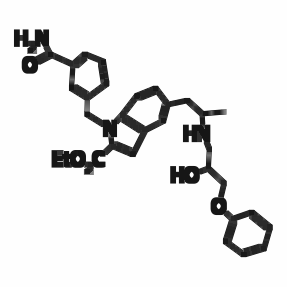 CCOC(=O)c1cc2cc(CC(C)NCC(O)COc3ccccc3)ccc2n1Cc1cccc(C(N)=O)c1